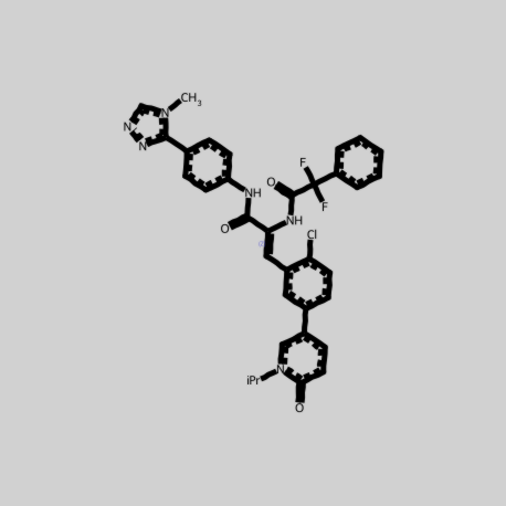 CC(C)n1cc(-c2ccc(Cl)c(/C=C(\NC(=O)C(F)(F)c3ccccc3)C(=O)Nc3ccc(-c4nncn4C)cc3)c2)ccc1=O